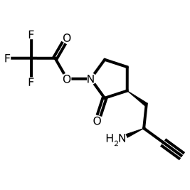 C#C[C@@H](N)C[C@@H]1CCN(OC(=O)C(F)(F)F)C1=O